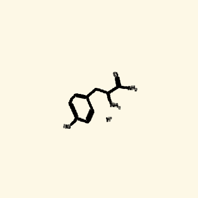 NC(=O)C(N)Cc1ccc(O)cc1.[H+]